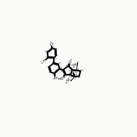 CCc1ccc(-c2ccc(Cl)cc2F)cc1C1=C(O)[C@H]2[C@@H](C1=O)[C@]1(C)CC[C@@]2(C)O1